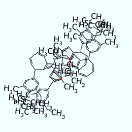 CCc1cc(C2C=CC=CC3=C2C=C(C)[C]32[SiH](C)[C]3(C(C)=CC4=C3C=CC=CC4c3cc(C)c([Si](C)(C)C)c(CC)c3)[Hf]23([Cl])([Cl])[C]2(C(C)=CC4=C2C=CC=CC4c2cc(C)c([Si](C)(C)C)c(CC)c2)[SiH](C)[C]32C(C)=CC3=C2C=CC=CC3c2cc(C)c([Si](C)(C)C)c(CC)c2)cc(C)c1[Si](C)(C)C